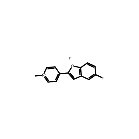 C[n+]1ccc(-c2cc3cc(F)ccc3o2)cc1.[I-]